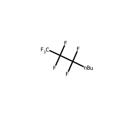 CCCCC(F)(F)C(F)(F)C(F)(F)F